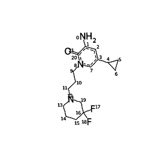 Nc1cc(C2CC2)cn(CCCN2CCCC(F)(F)C2)c1=O